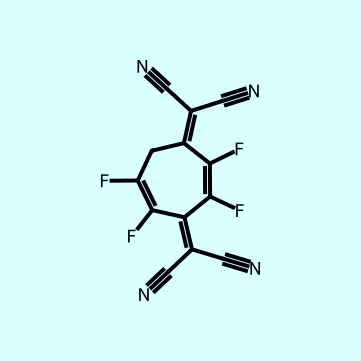 N#CC(C#N)=C1CC(F)=C(F)C(=C(C#N)C#N)C(F)=C1F